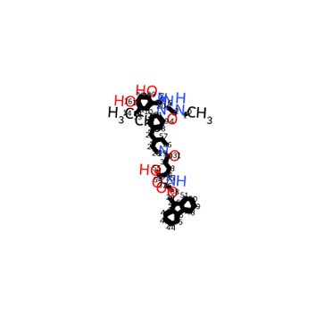 CCNC(=O)c1nnc(-c2cc(C(C)C)c(O)cc2O)n1-c1ccc(CC2CCN(C(=O)CCC(NC(=O)OCC3c4ccccc4-c4ccccc43)C(=O)O)CC2)cc1